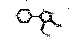 C=c1[nH]nc(-c2ccncc2)/c1=C/C